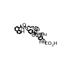 CC(NC(=O)N(CCCN1CCOCC1)Cc1ccc(S(=O)(=O)NCc2ccc(CNC(=O)O)cc2C(C)(C)C)cc1)c1cccc2ccccc12